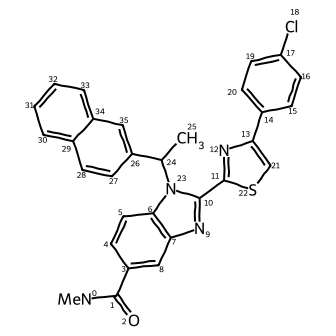 CNC(=O)c1ccc2c(c1)nc(-c1nc(-c3ccc(Cl)cc3)cs1)n2C(C)c1ccc2ccccc2c1